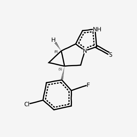 Fc1ccc(Cl)cc1[C@]12C[C@H]1c1c[nH]c(=S)n1C2